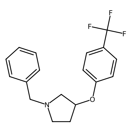 FC(F)(F)c1ccc(OC2CCN(Cc3ccccc3)C2)cc1